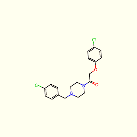 O=C(COc1ccc(Cl)cc1)N1CCN(Cc2ccc(Cl)cc2)CC1